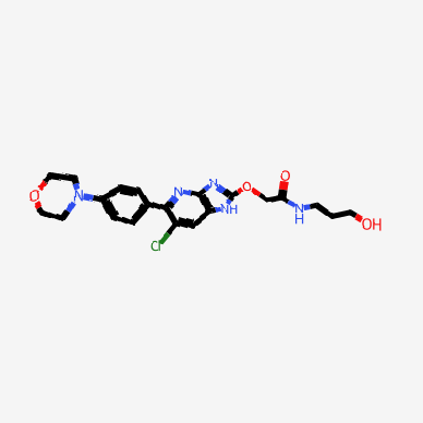 O=C(COc1nc2nc(-c3ccc(N4CCOCC4)cc3)c(Cl)cc2[nH]1)NCCCO